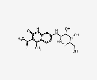 CC(=O)c1c(C)c2ccc(NC3NOC(CO)[C@@H](O)C3O)cc2[nH]c1=O